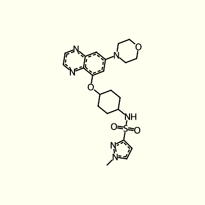 Cn1ccc(S(=O)(=O)NC2CCC(Oc3cc(N4CCOCC4)cc4nccnc34)CC2)n1